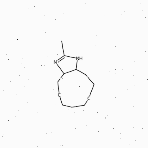 CC1=NC2CCCCCCCCC2N1